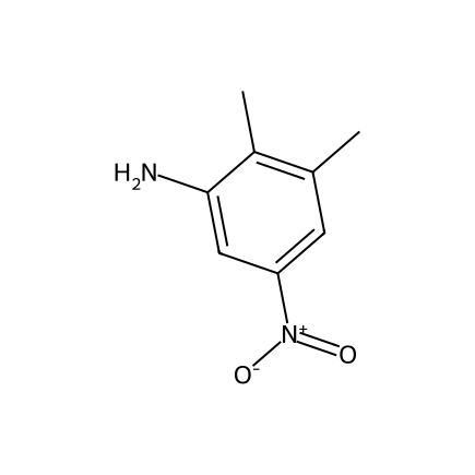 Cc1cc([N+](=O)[O-])cc(N)c1C